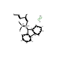 CC=CC(C)=[CH][Zr+2]([CH]1c2ccccc2-c2ccccc21)=[Si](C)C.[Cl-].[Cl-]